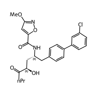 CCCC(=O)[C@H](O)C[C@@H](Cc1ccc(-c2cccc(Cl)c2)cc1)NC(=O)c1cc(OC)no1